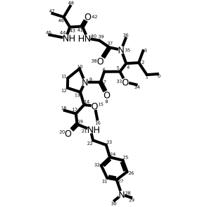 CCC(C)C(C(CC(=O)N1CCCC1C(OC)C(C)C(=O)NCCc1ccc(N(C)C)cc1)OC)N(C)C(=O)CNC(=O)C(NC)C(C)C